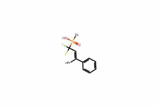 CCC/C(=C\C(F)(F)P(=O)(O)CC)c1ccccc1